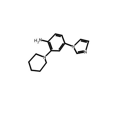 Nc1ccc(-n2ccnc2)cc1N1CCCCC1